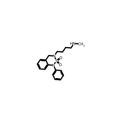 CNCCCCN1Cc2ccccc2N(c2ccccc2)S1(=O)=O